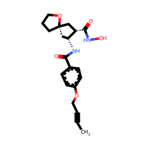 CC#CCOc1ccc(C(=O)N[C@@H]2C[C@@]3(CCCO3)C[C@@H]2C(=O)NO)cc1